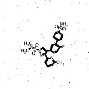 Cc1cccc(-c2nn(S(=O)(=O)N(C)C)cc2-c2ccc(F)c(-c3ccc(S(N)(=O)=O)cc3)c2)n1